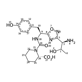 CC(O)[C@H](N)c1noc([C@H](Cc2ccc(O)cc2)NC(=O)N2CCCC[C@H]2C(=O)O)n1